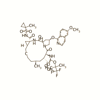 COC[C@@H]1C[C@@H](C)CCCC[C@H]2C[C@@]2(C(=O)NS(=O)(=O)C2(C)CC2)NC(=O)[C@@H]2C[C@@H](Oc3nccc4cc(OC)ccc34)CN2C(=O)[C@H]1NC(=O)OC(C)(C)C(F)(F)F